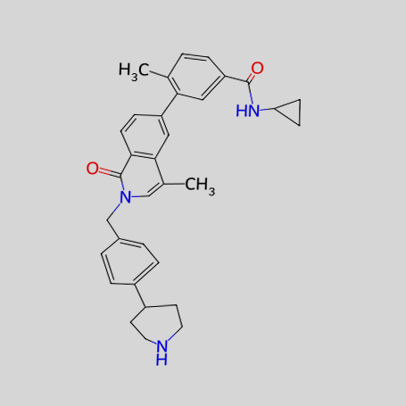 Cc1ccc(C(=O)NC2CC2)cc1-c1ccc2c(=O)n(Cc3ccc(C4CCNCC4)cc3)cc(C)c2c1